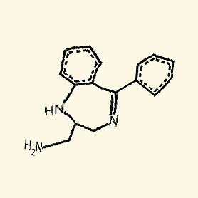 NCC1CN=C(c2ccccc2)c2ccccc2N1